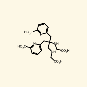 O=C(O)CNCC(Cc1cccc(C(=O)O)n1)(Cc1cccc(C(=O)O)n1)NCC(=O)O